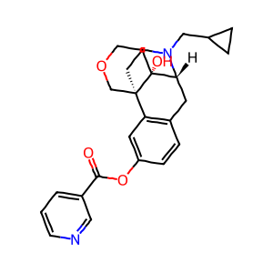 O=C(Oc1ccc2c(c1)[C@]13CCN(CC4CC4)[C@H](C2)[C@]1(O)CCOC3)c1cccnc1